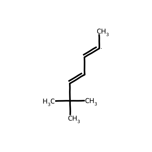 C/[C]=C/C=CC(C)(C)C